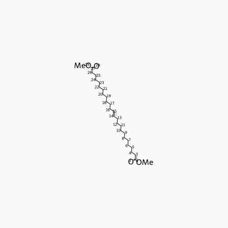 COC(=O)CCCCCCCCCCC/C=C/CCCCCCCCCCCC(=O)OC